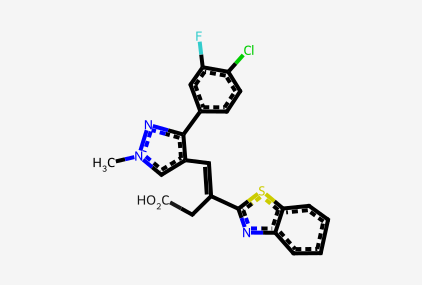 Cn1cc(/C=C(\CC(=O)O)c2nc3ccccc3s2)c(-c2ccc(Cl)c(F)c2)n1